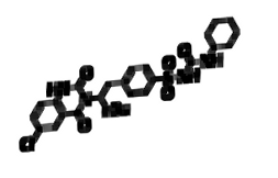 CCCCC(Cc1ccc(S(=O)(=O)NC(=O)NC2CCCCC2)cc1)n1c(=O)[nH]c2ccc(Cl)cc2c1=O